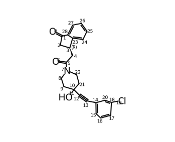 O=C1C[C@H](CC(=O)N2CCC(O)(C#Cc3cccc(Cl)c3)CC2)c2ccccc21